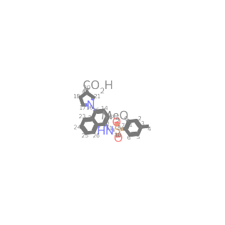 COc1cc(C)ccc1S(=O)(=O)Nc1ccc(N2CC[C@@H](C(=O)O)C2)c2ccccc12